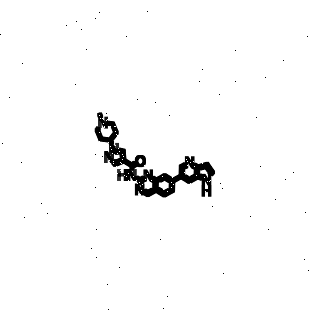 CN1CCC(n2cc(C(=O)Nc3ncc4ccc(-c5cnc6cc[nH]c6c5)cc4n3)cn2)CC1